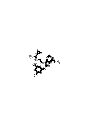 CC(NCCn1c(Sc2cc(Cl)cc(Cl)c2)nc2c(N)ncnc21)C1CC1